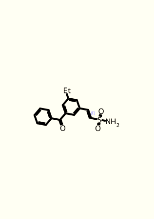 CCc1cc(/C=C/S(N)(=O)=O)cc(C(=O)c2ccccc2)c1